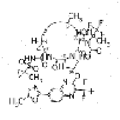 Cc1cnc(-c2ccc3nc(C(F)(F)F)c(O[C@@H]4C[C@H]5C(=O)N[C@]6(C(=O)NS(=O)(=O)C7(C)CC7)C[C@H]6C=CCC[C@@H](C)C[C@@H](C)[C@H](N(C(=O)O)C(C)(C)C(F)(F)F)C(=O)N5C4)nc3c2)o1